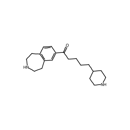 O=C(CCCCC1CCNCC1)c1ccc2c(c1)CCNCC2